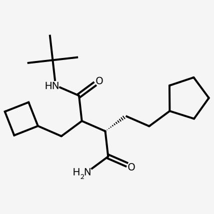 CC(C)(C)NC(=O)C(CC1CCC1)[C@H](CCC1CCCC1)C(N)=O